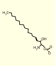 CCCCCCCCCCCCC/C=C/C(O)C(N)COP(=O)=O